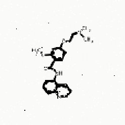 COc1cc(OCCN(C)C)ccc1C(=O)Nc1cccc2ncccc12